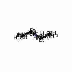 CCC(C)(C)NCCCCC(C)(CC)NC/C=C/CNC(CC)(CC)CCCCNC(C)(CC)CC